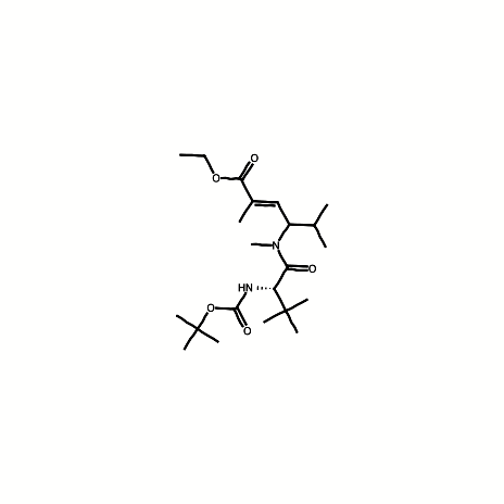 CCOC(=O)/C(C)=C/C(C(C)C)N(C)C(=O)[C@@H](NC(=O)OC(C)(C)C)C(C)(C)C